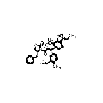 CCc1cc([C@@H](c2ccc3c(nnn3CC)c2C)[C@@H](C)C(=O)N2C(=O)OC[C@H]2Cc2ccccc2)ccc1C